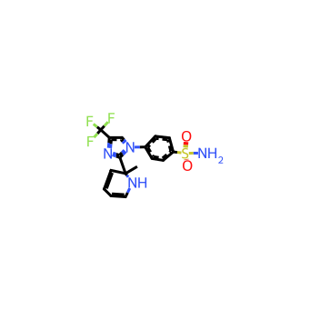 CC1(c2nc(C(F)(F)F)cn2-c2ccc(S(N)(=O)=O)cc2)C=CC=CN1